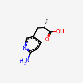 C[C@@H](Cc1ccc(N)nc1)C(=O)O